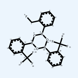 FCc1ccccc1B1OB(c2ccccc2C(F)(F)F)OB(c2ccccc2C(F)(F)F)O1